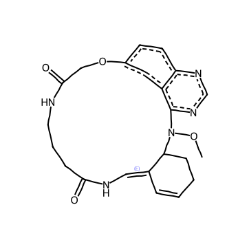 CON1c2ncnc3ccc(cc23)OCC(=O)NCCCC(=O)N/C=C2\C=CCCC21